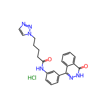 Cl.O=C(CCCCn1ccnn1)Nc1cccc(-c2n[nH]c(=O)c3ccccc23)c1